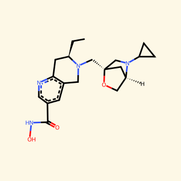 CC[C@@H]1Cc2ncc(C(=O)NO)cc2CN1C[C@]12C[C@H](CO1)N(C1CC1)C2